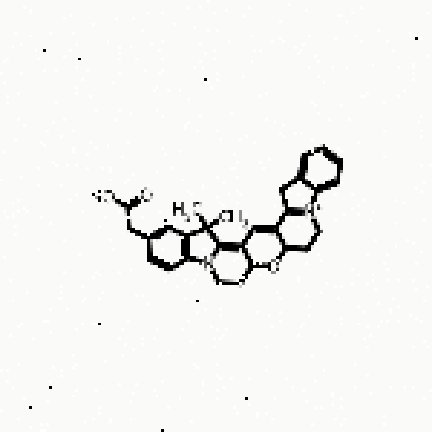 CC1(C)C2=C3C=C4C5=[N+](CCC4OC3CCN2c2ccc(CC(=O)O)cc21)c1ccccc1C5